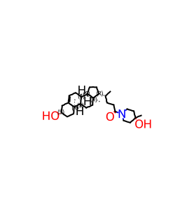 CC(CCC(=O)N1CCC(C)(O)CC1)[C@H]1CC[C@H]2[C@@H]3CC=C4C[C@@H](O)CC[C@]4(C)[C@H]3CC[C@]12C